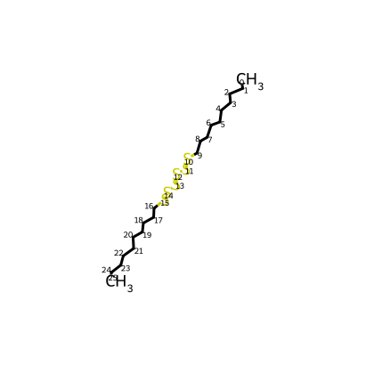 CCCCCCCCCCSSSSSSCCCCCCCCCC